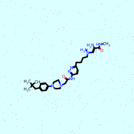 CNC(=O)/C(N)=C/N(N)CCCCc1ccc(NC(=O)CN2CCN(c3ccc(CC(C)(C)C)cc3)CC2)nn1